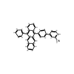 N#Cc1cc(-c2ccc(-c3c4ccccc4c(-c4ccccc4)c4cc5ccccc5cc34)cc2)ccn1